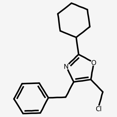 ClCc1oc(C2CCCCC2)nc1Cc1ccccc1